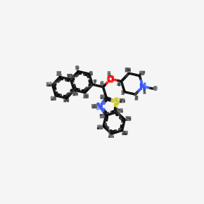 CN1CCC(OC(c2ccc3ccccc3c2)c2nc3ccccc3s2)CC1